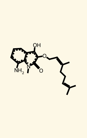 CC(C)=CCCC(C)=CCOc1c(O)c2cccc(N)c2n(C)c1=O